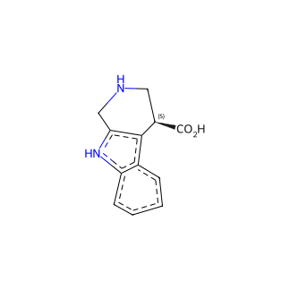 O=C(O)[C@@H]1CNCc2[nH]c3ccccc3c21